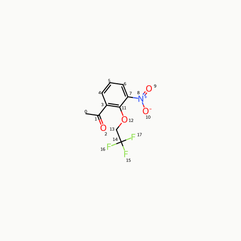 CC(=O)c1cccc([N+](=O)[O-])c1OCC(F)(F)F